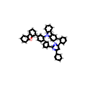 c1ccc(-c2cc(-c3ccccc3-c3ccc4c(c3)c3ccccc3n4-c3cccc(-c4cccc5c4oc4ccccc45)c3)nc(-c3ccccc3)n2)cc1